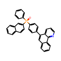 O=P(c1ccccc1)(c1ccc(-c2cc3ccccc3c3ncccc23)cc1)c1ccc2ccccc2c1